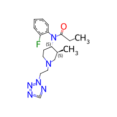 CCC(=O)N(c1ccccc1F)[C@H]1CCN(CCn2ncnn2)C[C@@H]1C